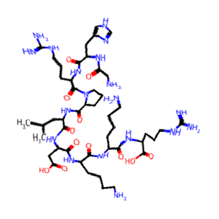 CC(C)CC(NC(=O)C1CCCN1C(=O)C(CCCNC(=N)N)NC(=O)C(Cc1c[nH]cn1)NC(=O)CN)C(=O)NC(CC(=O)O)C(=O)NC(CCCCN)C(=O)NC(CCCCN)C(=O)NC(CCCNC(=N)N)C(=O)O